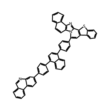 c1ccc2c(c1)cnc1cc(-c3ccc(-c4ccc(-c5ccc(-c6cc7c8ccccc8sc7c7nc8c9ccccc9ccc8n67)cc5)c5ccccc45)cc3)ccc12